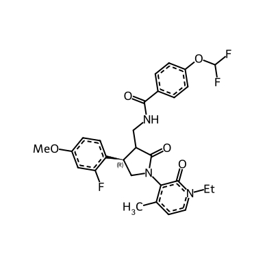 CCn1ccc(C)c(N2C[C@@H](c3ccc(OC)cc3F)C(CNC(=O)c3ccc(OC(F)F)cc3)C2=O)c1=O